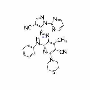 Cc1c(C#N)c(N2CCSCC2)nc(Nc2ccccc2)c1/N=N/c1c(C#N)cnn1-c1ncccn1